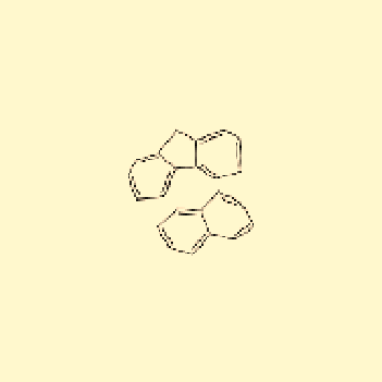 [CH]1c2ccccc2-c2ccccc21.[c]1cccc2ccccc12